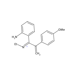 C=C(/C(=N/CC)c1ccccc1N)c1ccc(OC)cc1